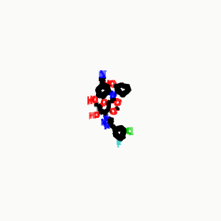 CO[C@@H]1[C@@H](n2cc(-c3cc(F)cc(Cl)c3)nn2)[C@@H](O)[C@@H](CO)O[C@H]1C(=O)N(c1cccc(C#N)c1)[C@H]1CCCC[C@@H]1O